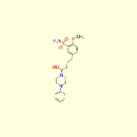 COc1ccc(CCCC(O)N2CCN(c3ccccc3)CC2)cc1S(N)(=O)=O